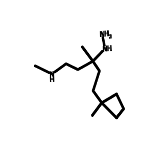 CNCCC(C)(CCC1(C)CCC1)NN